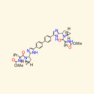 COC(=O)N[C@H](C(=O)N1C(c2ncc(-c3ccc(-c4ccc(-c5cnc(C6C[C@H]7C[C@H]7N6C(=O)[C@@H](NC(=O)OC)C(C)C)[nH]5)cc4)cc3)[nH]2)C[C@H]2C[C@H]21)C(C)C